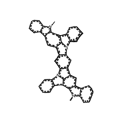 Cn1c2ccccc2c2cc3c4cc5c(cc4n4c6ccccc6c(c21)c34)c1cc2c3ccccc3n(C)c2c2c3ccccc3n5c12